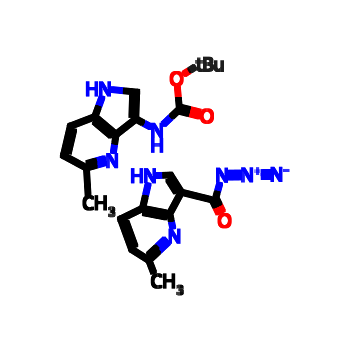 Cc1ccc2[nH]cc(C(=O)N=[N+]=[N-])c2n1.Cc1ccc2[nH]cc(NC(=O)OC(C)(C)C)c2n1